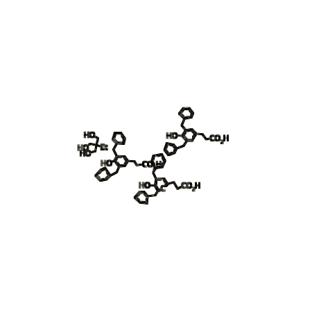 CCC(CO)(CO)CO.O=C(O)CCc1cc(Cc2ccccc2)c(O)c(Cc2ccccc2)c1.O=C(O)CCc1cc(Cc2ccccc2)c(O)c(Cc2ccccc2)c1.O=C(O)CCc1cc(Cc2ccccc2)c(O)c(Cc2ccccc2)c1